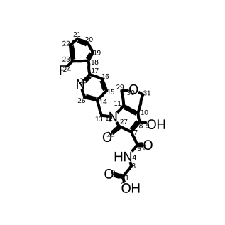 O=C(O)CNC(=O)c1c(O)c2c(n(Cc3ccc(-c4ccccc4F)nc3)c1=O)COC2